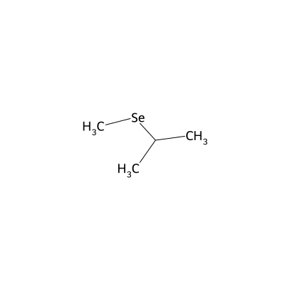 C[Se]C(C)C